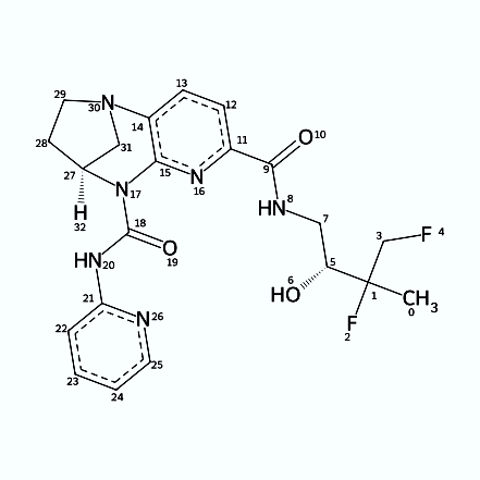 CC(F)(CF)[C@H](O)CNC(=O)c1ccc2c(n1)N(C(=O)Nc1ccccn1)[C@H]1CCN2C1